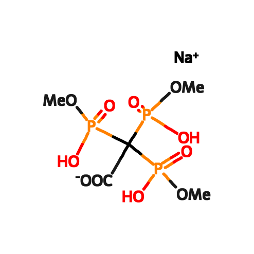 COP(=O)(O)C(C(=O)[O-])(P(=O)(O)OC)P(=O)(O)OC.[Na+]